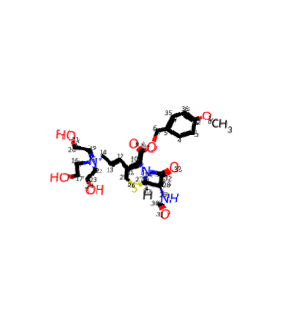 COc1ccc(COC(=O)C2=C(/C=C/C[N+](CCO)(CCO)CCO)CS[C@@H]3[C@H](NC=O)C(=O)N23)cc1